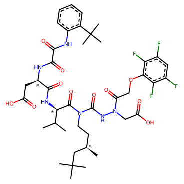 CC(C)[C@@H](NC(=O)[C@@H](CC(=O)O)NC(=O)C(=O)Nc1ccccc1C(C)(C)C)C(=O)N(CC[C@@H](C)CC(C)(C)C)C(=O)NN(CC(=O)O)C(=O)COc1c(F)c(F)cc(F)c1F